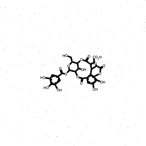 O=C(O)CC1C(=O)OC2C(CO)OC(OC(=O)c3cc(O)c(O)c(O)c3)C(OC(=O)c3cc(O)c(O)c4c3C1C(O)C(=O)O4)C2O